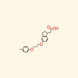 Cc1ccc(OCCCOc2ccc3c(c2)CC[C@H]3CC(=O)O)cc1